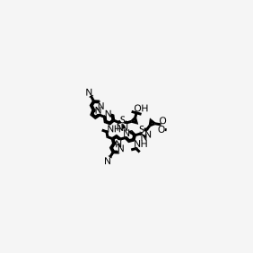 COC(=O)C1CC1c1nnc(-c2cnc(-c3cc(CC(C)Nc4cc(-c5ccc6cc(C#N)cnn56)ncc4-c4nnc(C5CC5C(C)(C)O)s4)c4cc(C#N)cnn34)cc2NC(C)C)s1